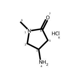 CN1CC(N)CC1=O.Cl